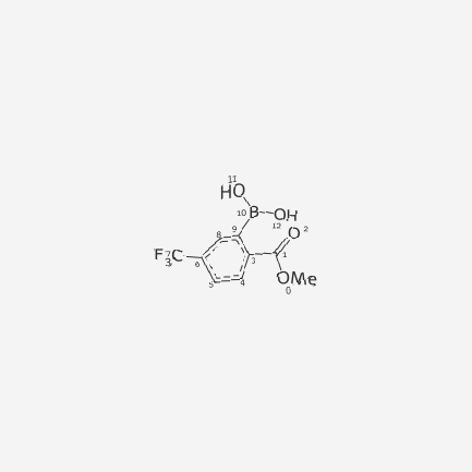 COC(=O)c1ccc(C(F)(F)F)cc1B(O)O